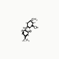 Cc1cnc(NC2=CC(=O)CC(C)C2)c(Br)c1